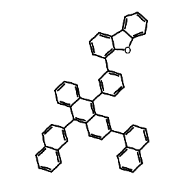 c1cc(-c2c3ccccc3c(-c3ccc4ccccc4c3)c3ccc(-c4cccc5ccccc45)cc23)cc(-c2cccc3c2oc2ccccc23)c1